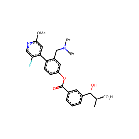 COc1cc(-c2ccc(OC(=O)c3cccc([C@H](O)[C@H](C)C(=O)O)c3)cc2CN(C(C)C)C(C)C)c(F)cn1